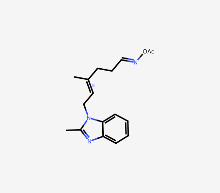 CC(=O)ON=CCC/C(C)=C/Cn1c(C)nc2ccccc21